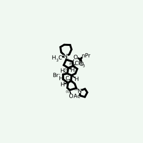 CCCC(=O)O[C@H]1[C@@H]([N+]2(C)CCCCCC2)C[C@H]2[C@@H]3CC[C@H]4C[C@H](OC(C)=O)[C@@H](N5CCCC5)C[C@]4(C)[C@H]3CC[C@@]21C.[Br-]